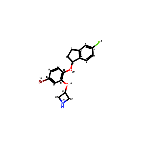 Fc1ccc2c(c1)CCC2Oc1ccc(Br)cc1OC1CNC1